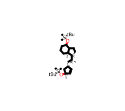 C[C@H](C[C@@H]1C=C[C@@](C)(O[Si](C)(C)C(C)(C)C)C1)[C@H]1CCC2C(O[Si](C)(C)C(C)(C)C)CCC[C@@]21C